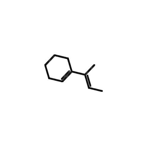 C/C=C(\C)C1=CCCCC1